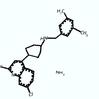 Cc1cc(C)cc(CNC2CCC(c3cc(N)nc4cc(Cl)ccc34)CC2)c1.N